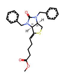 COC(=O)CCCC=C1SC[C@H]2[C@@H]1N(Cc1ccccc1)C(=O)N2Cc1ccccc1